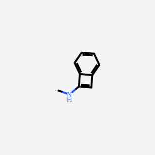 [CH2]NC1=Cc2ccccc21